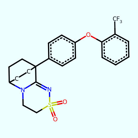 O=S1(=O)CCN2C(=N1)C1(c3ccc(Oc4ccccc4C(F)(F)F)cc3)CCC2CC1